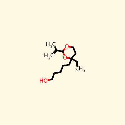 C=C(C)C1OCCC(CC)(CCCCCO)O1